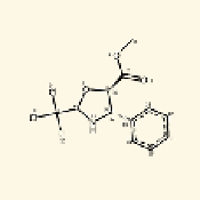 COC(=O)[C@@H]1OC(C(Cl)(Cl)Cl)N[C@H]1c1ccccc1